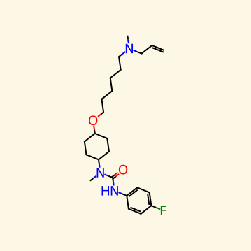 C=CCN(C)CCCCCCOC1CCC(N(C)C(=O)Nc2ccc(F)cc2)CC1